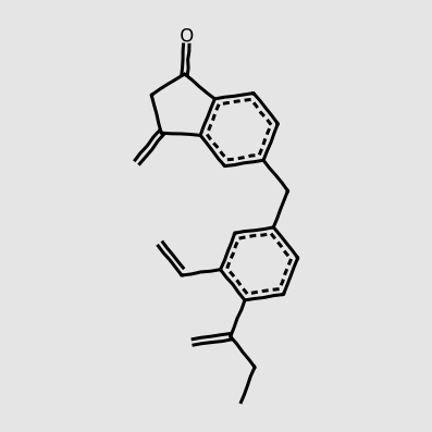 C=Cc1cc(Cc2ccc3c(c2)C(=C)CC3=O)ccc1C(=C)CC